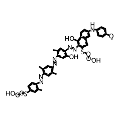 COc1ccc(Nc2ccc3c(O)c(N=Nc4cc(C)c(N=Nc5cc(C)c(N=Nc6ccc(SOOO)cc6C)cc5C)cc4O)c(SOOO)cc3c2)cc1